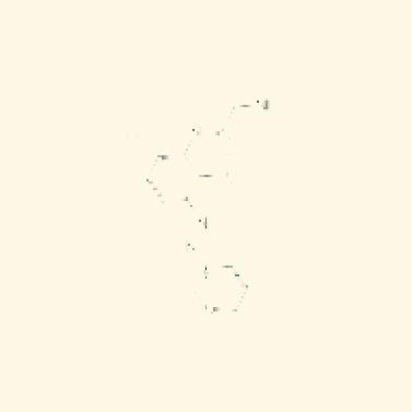 NCc1cc(O)c2c(N=Nc3ccccc3)ccc(O)c2n1